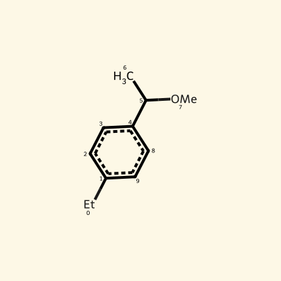 CCc1ccc(C(C)OC)cc1